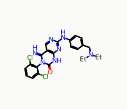 CCN(CC)Cc1ccc(Nc2ncc3c(=N)n(-c4c(Cl)cccc4Cl)c(=O)[nH]c3n2)cc1